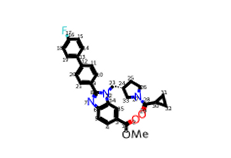 COC(=O)c1ccc2nc(-c3ccc(-c4ccc(F)cc4)cc3)n(C[C@@H]3CCN(C(=O)C4CC4)C3)c2c1